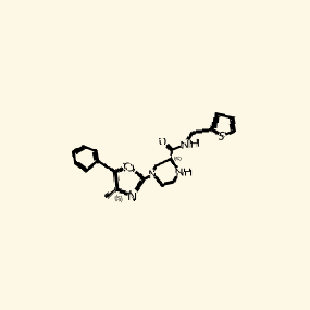 C[C@@H]1N=C(N2CCN[C@H](C(=O)NCc3cccs3)C2)OC1c1ccccc1